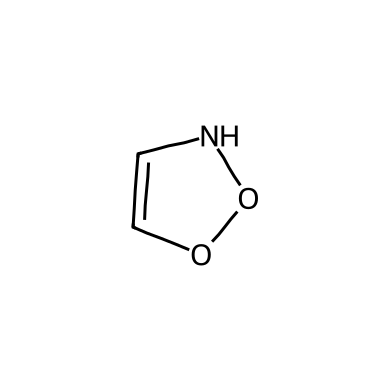 C1=COON1